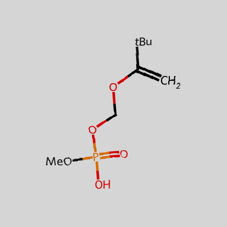 C=C(OCOP(=O)(O)OC)C(C)(C)C